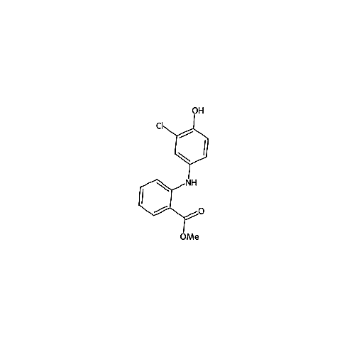 COC(=O)c1ccccc1Nc1ccc(O)c(Cl)c1